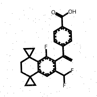 C=C(c1ccc(C(=O)O)cc1)c1c(C(F)F)cc2c(c1F)C1(CCC23CC3)CC1